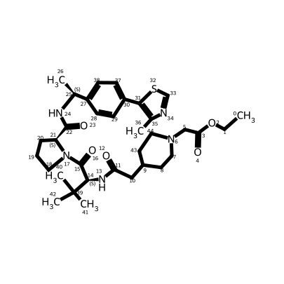 CCOC(=O)CN1CCC(CC(=O)N[C@H](C(=O)N2CCC[C@H]2C(=O)N[C@@H](C)c2ccc(-c3scnc3C)cc2)C(C)(C)C)CC1